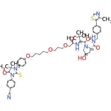 Cc1ncsc1-c1ccc(CNC(=O)[C@@H]2C[C@@H](O)CN2C(=O)[C@@H](NC(=O)COCCCOCCCCCOc2ccc(N3C(=S)N(c4ccc(C#N)cc4)C(=O)C3(C)C)cc2)C(C)(C)C)cc1